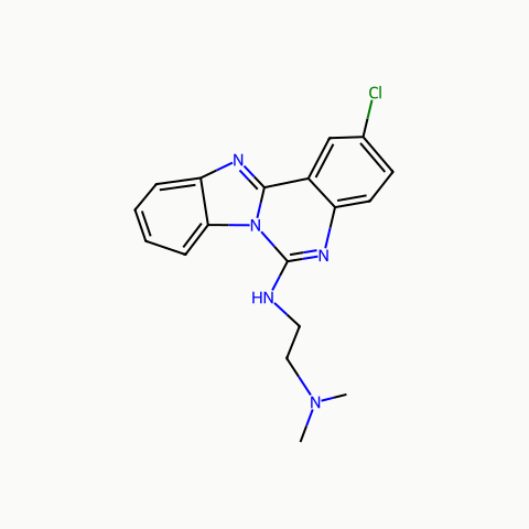 CN(C)CCNc1nc2ccc(Cl)cc2c2nc3ccccc3n12